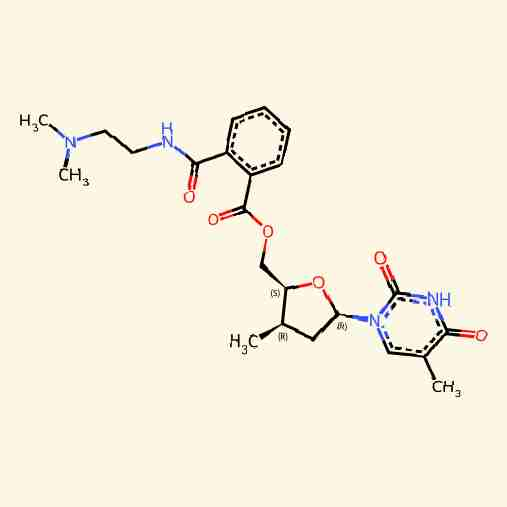 Cc1cn([C@H]2C[C@@H](C)[C@@H](COC(=O)c3ccccc3C(=O)NCCN(C)C)O2)c(=O)[nH]c1=O